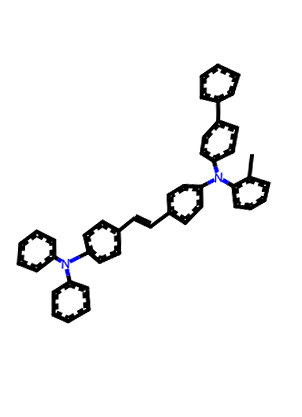 Cc1ccccc1N(c1ccc(/C=C/c2ccc(N(c3ccccc3)c3ccccc3)cc2)cc1)c1ccc(-c2ccccc2)cc1